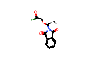 CC(OCC(=O)Cl)N1C(=O)c2ccccc2C1=O